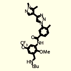 COc1c(CNC(C)(C)C)cc(OC(F)(F)F)cc1NC(=O)c1ccc(C)c(-n2cc(-c3cnn(C)c3C)nn2)c1